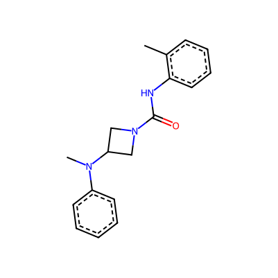 Cc1ccccc1NC(=O)N1CC(N(C)c2ccccc2)C1